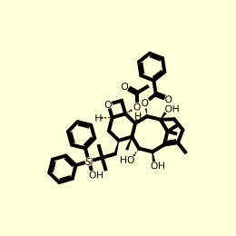 CC(=O)O[C@@]12CO[C@@H]1C[C@H](CC(C)(C)[Si](O)(c1ccccc1)c1ccccc1)[C@]1(C)[C@@H]2[C@H](OC(=O)c2ccccc2)[C@]2(O)CCC(C)=C([C@@H](O)[C@@H]1O)C2(C)C